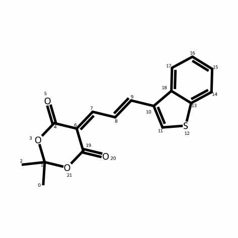 CC1(C)OC(=O)C(=CC=Cc2csc3ccccc23)C(=O)O1